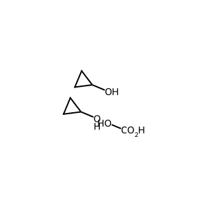 O=C(O)O.OC1CC1.OC1CC1